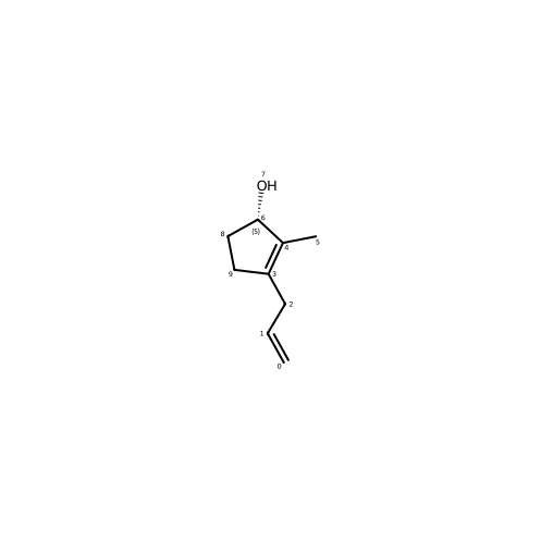 C=CCC1=C(C)[C@@H](O)CC1